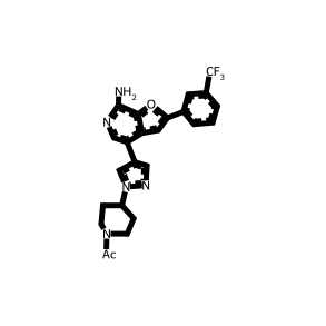 CC(=O)N1CCC(n2cc(-c3cnc(N)c4oc(-c5cccc(C(F)(F)F)c5)cc34)cn2)CC1